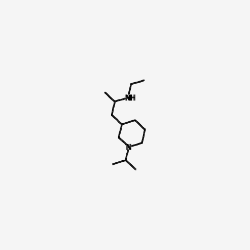 CCNC(C)CC1CCCN(C(C)C)C1